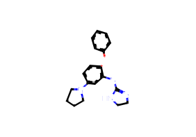 c1ccc(Oc2ccc(N3CCCC3)cc2NC2=NCCN2)cc1